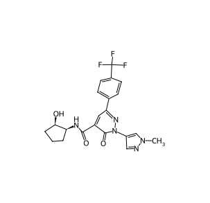 Cn1cc(-n2nc(-c3ccc(C(F)(F)F)cc3)cc(C(=O)N[C@H]3CCC[C@H]3O)c2=O)cn1